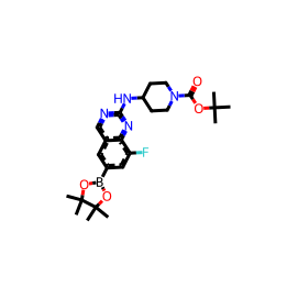 CC(C)(C)OC(=O)N1CCC(Nc2ncc3cc(B4OC(C)(C)C(C)(C)O4)cc(F)c3n2)CC1